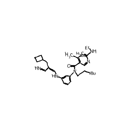 C=C(/N=C\C(C(=O)N(CCC(C)CC)c1cccc(N/C=C(\C=N)CC2CCC2)c1)=C(\C)C(C)CC)NCC